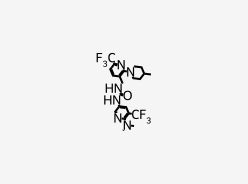 CC1CCN(c2nc(C(F)(F)F)ccc2CNC(=O)Nc2cnc(N(C)C)c(C(F)(F)F)c2)CC1